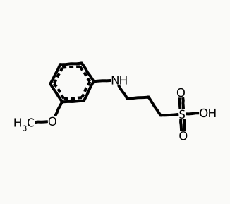 COc1cccc(NCCCS(=O)(=O)O)c1